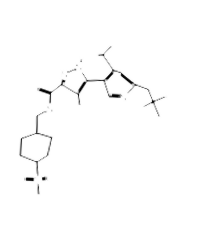 CCn1nc(C(=O)NCC2CCC(S(C)(=O)=O)CC2)c(C)c1-c1cnc(CC(C)(C)C(F)(F)F)cc1C(F)F